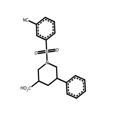 N#Cc1cccc(S(=O)(=O)N2CC(C(=O)O)CC(c3ccccc3)C2)c1